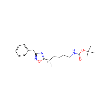 C[C@@H](CCCCNC(=O)OC(C)(C)C)c1nc(Cc2ccccc2)no1